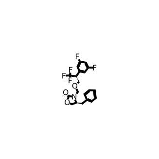 O=C1OC[C@H](Cc2ccccc2)N1COC[C@@H](c1cc(F)cc(F)c1)C(F)(F)F